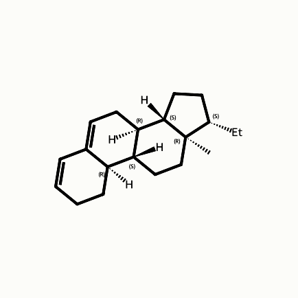 CC[C@H]1CC[C@H]2[C@@H]3CC=C4C=CCC[C@@H]4[C@H]3CC[C@]12C